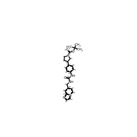 CC(C)(C)OC(=O)N1CCC(c2ccc(NC(=O)NCc3ccn4ccnc4c3)cc2)C1